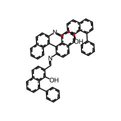 Oc1c(/C=N/c2ccc3ccccc3c2-c2c(/N=C/c3ccc4cccc(-c5ccccc5)c4c3O)ccc3ccccc23)ccc2cccc(-c3ccccc3)c12